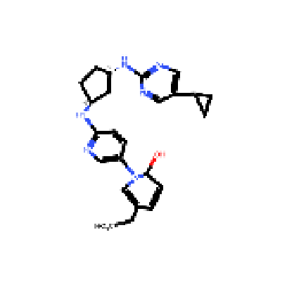 O=C(O)CC1=CN(c2ccc(N[C@H]3CC[C@H](Nc4ncc(C5CC5)cn4)C3)nc2)C(O)C=C1